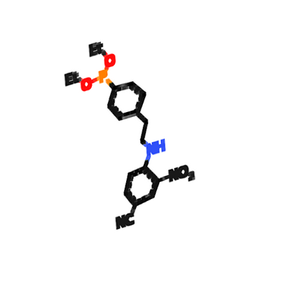 CCOP(OCC)c1ccc(CCNc2ccc(C#N)cc2[N+](=O)[O-])cc1